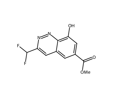 COC(=O)c1cc(O)c2nnc(C(F)F)cc2c1